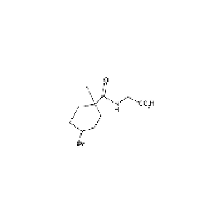 CC(C)C1CCC(C)(C(=O)NCC(=O)O)CC1